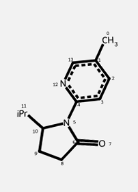 Cc1ccc(N2C(=O)CCC2C(C)C)nc1